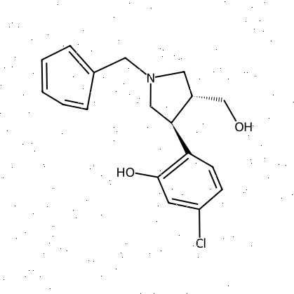 OC[C@H]1CN(Cc2ccccc2)C[C@@H]1c1ccc(Cl)cc1O